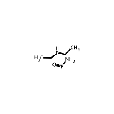 CCNCC.NP=O